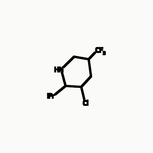 CC(C)C1NCC(C(F)(F)F)CC1Cl